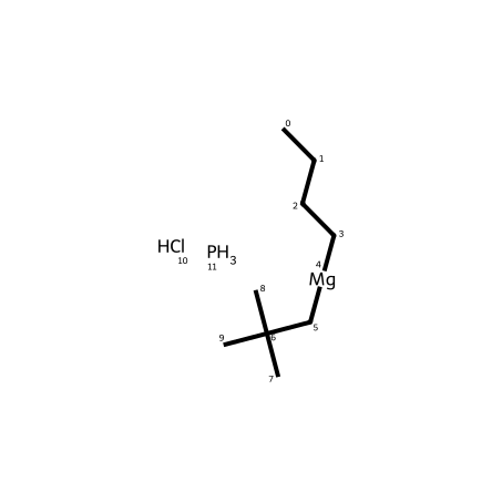 CCC[CH2][Mg][CH2]C(C)(C)C.Cl.P